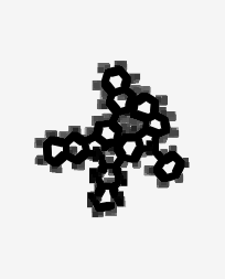 c1ccc(-n2c3cc(-c4nc5nccnc5nc4-n4c5ccc(-c6ccc7ccccc7c6)cc5c5cc6ccccc6cc54)ccc3c3c4ccccc4ccc32)cc1